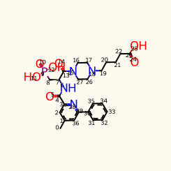 Cc1cc(C(=O)N[C@@H](CP(=O)(O)O)C(=O)N2CCN(CCCCC(=O)O)CC2)nc(-c2ccccc2)c1